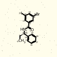 CC[C@@H](NC(=O)c1cc(Br)cc(I)c1)c1ccccc1